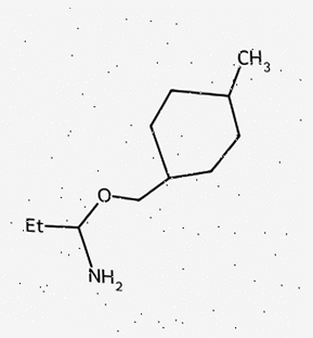 CCC(N)OCC1CCC(C)CC1